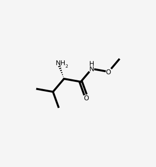 CONC(=O)[C@@H](N)C(C)C